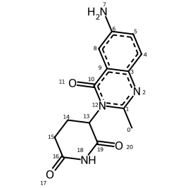 Cc1nc2ccc(N)cc2c(=O)n1C1CCC(=O)NC1=O